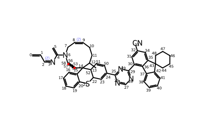 C=C/C=N\C(=C)N1C/C=C\CCC(C)C2(c3ccccc3SC3C=C(c4ncnc(-c5cc(C#N)cc6c5-c5ccccc5C65CCCCC5)n4)C=CC32)c2ccccc21